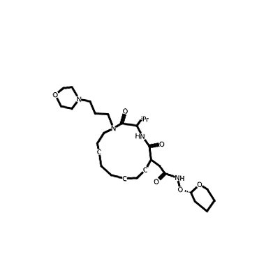 CC(C)C1NC(=O)C(CC(=O)NO[C@H]2CCCCO2)CCCCCCCCN(CCCN2CCOCC2)C1=O